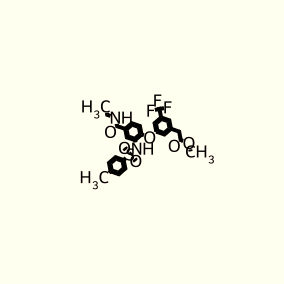 CCNC(=O)c1ccc(Oc2cc(CC(=O)OC)cc(C(F)(F)F)c2)c(NS(=O)(=O)c2ccc(C)cc2)c1